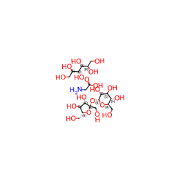 NCC(=O)O.OC[C@@H](O)[C@@H](O)[C@H](O)[C@H](O)CO.OC[C@H]1O[C@@](CO)(O[C@H]2O[C@H](CO)[C@@H](O)[C@H](O)[C@H]2O)[C@@H](O)[C@@H]1O